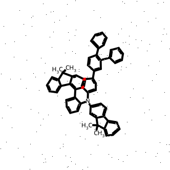 CC1(C)c2ccccc2-c2ccc(N(c3ccc(-c4ccc(-c5ccccc5)c(-c5ccccc5)c4)cc3)c3ccccc3-c3cccc4c3-c3ccccc3C4(C)C)cc21